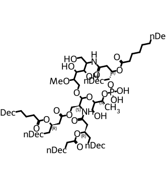 CCCCCCCCCCCCCCCC(=O)O[C@H](CCCCCCCCCCC)CC(=O)NC(CO)C(O)C(O)C(COC(OC(CO)[C@H](C)OP(=O)(O)O)[C@H](COC(=O)C[C@@H](CCCCCCCCCCC)OC(=O)CCCCCCCCCCCCC)NC(=O)C[C@@H](CCCCCCCCCCC)OC(=O)CCCCCCCCCCC)OC